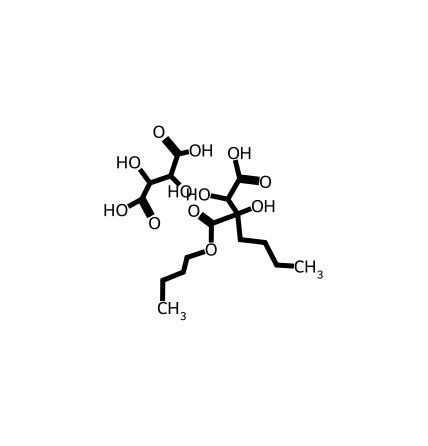 CCCCOC(=O)C(O)(CCCC)C(O)C(=O)O.O=C(O)C(O)C(O)C(=O)O